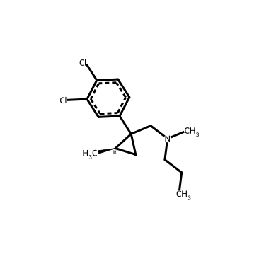 CCCN(C)CC1(c2ccc(Cl)c(Cl)c2)C[C@H]1C